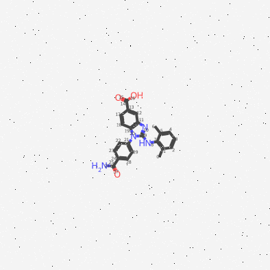 Cc1cccc(C)c1Nc1nc2cc(C(=O)O)ccc2n1-c1ccc(C(N)=O)cc1